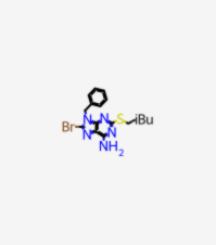 CCC(C)CSc1nc(N)c2nc(Br)n(Cc3ccccc3)c2n1